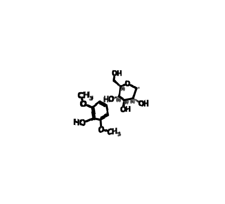 COc1cccc(OC)c1O.OC[C@H]1O[CH][C@H](O)[C@@H](O)[C@@H]1O